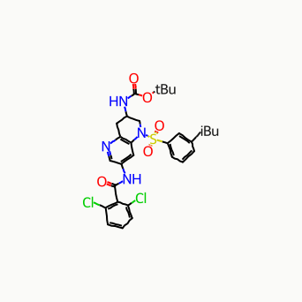 CCC(C)c1cccc(S(=O)(=O)N2CC(NC(=O)OC(C)(C)C)Cc3ncc(NC(=O)c4c(Cl)cccc4Cl)cc32)c1